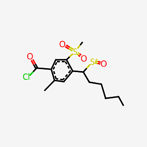 CCCCCC([S+]=O)c1cc(C)c(C(=O)Cl)cc1S(C)(=O)=O